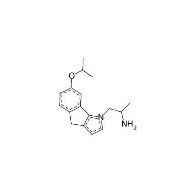 CC(N)Cn1ccc2c1-c1cc(OC(C)C)ccc1C2